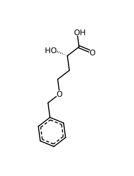 O=C(O)[C@@H](O)CCOCc1ccccc1